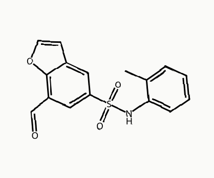 Cc1ccccc1NS(=O)(=O)c1cc(C=O)c2occc2c1